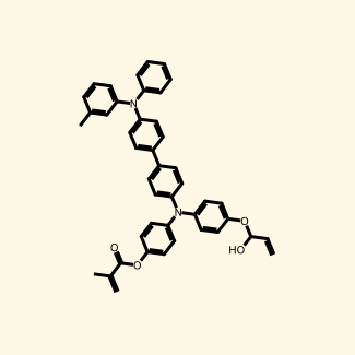 C=CC(O)Oc1ccc(N(c2ccc(OC(=O)C(=C)C)cc2)c2ccc(-c3ccc(N(c4ccccc4)c4cccc(C)c4)cc3)cc2)cc1